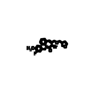 Cc1ccc(CN2C(=O)C(Br)C(COCC3CCOC3)=Cc3ccccc32)cc1F